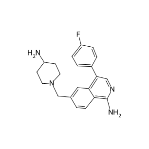 Nc1ncc(-c2ccc(F)cc2)c2cc(CN3CCC(N)CC3)ccc12